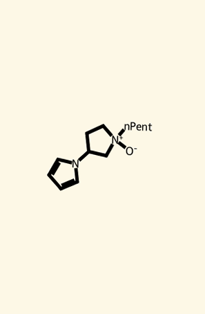 CCCCC[N+]1([O-])CCC(n2cccc2)C1